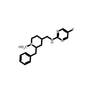 O=C(O)N1CCC(CNc2ncc(F)cn2)CC1Cc1ccccc1